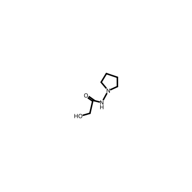 O=C(CO)NN1CCCC1